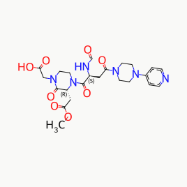 COC(=O)C[C@@H]1C(=O)N(CC(=O)O)CCN1C(=O)[C@H](CC(=O)N1CCN(c2ccncc2)CC1)NC=O